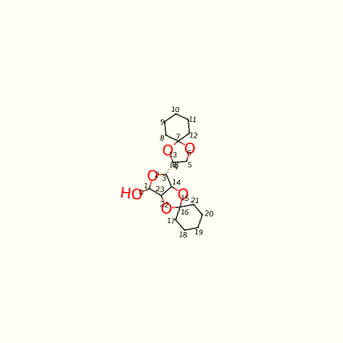 OC1OC([C@H]2COC3(CCCCC3)O2)C2OC3(CCCCC3)OC12